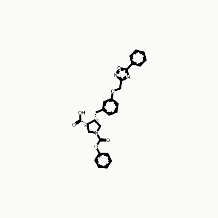 O=C(O)[C@H]1CN(C(=O)Oc2ccccc2)C[C@H]1Cc1cccc(OCc2noc(-c3ccccc3)n2)c1